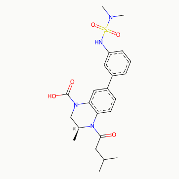 CC(C)CC(=O)N1c2ccc(-c3cccc(NS(=O)(=O)N(C)C)c3)cc2N(C(=O)O)C[C@@H]1C